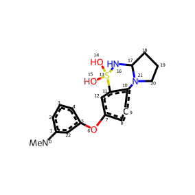 CNc1cccc(Oc2ccc3c(c2)S(O)(O)NC2CCCN32)c1